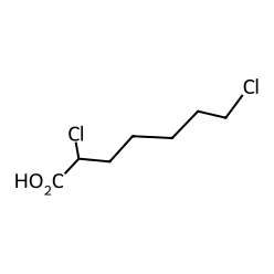 O=C(O)C(Cl)CCCCCCl